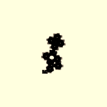 N#Cc1ccc2c(c1)c1cc3cc(c4ccccc4c4nc(-c5ccc(S(c6ccccc6)(c6ccccc6)c6ccccc6)cc5)nc(n4)c4ccccc34)c1n2-c1ccccc1